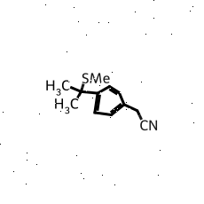 CSC(C)(C)c1ccc(CC#N)cc1